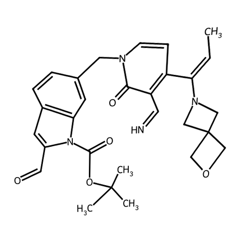 C/C=C(\c1ccn(Cc2ccc3cc(C=O)n(C(=O)OC(C)(C)C)c3c2)c(=O)c1C=N)N1CC2(COC2)C1